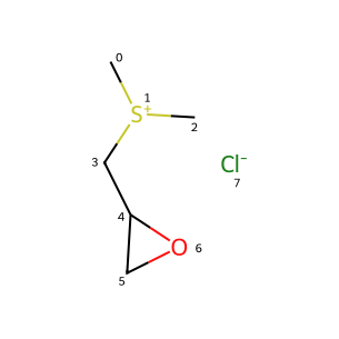 C[S+](C)CC1CO1.[Cl-]